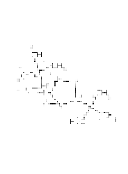 CC(C)(C)N1CC2CC1C[N+]2(C)C(C)(C)C